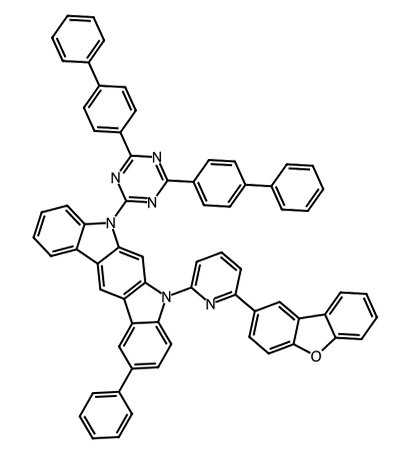 c1ccc(-c2ccc(-c3nc(-c4ccc(-c5ccccc5)cc4)nc(-n4c5ccccc5c5cc6c7cc(-c8ccccc8)ccc7n(-c7cccc(-c8ccc9oc%10ccccc%10c9c8)n7)c6cc54)n3)cc2)cc1